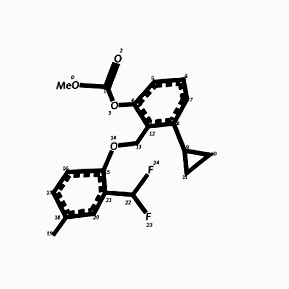 COC(=O)Oc1cccc(C2CC2)c1COc1ccc(C)cc1C(F)F